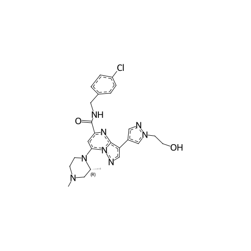 C[C@@H]1CN(C)CCN1c1cc(C(=O)NCc2ccc(Cl)cc2)nc2c(-c3cnn(CCO)c3)cnn12